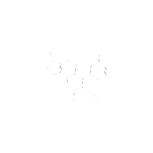 COc1cccc(C2C(C#N)=C(N)Oc3c2ccc2c3ccn2C)c1